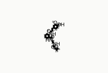 COc1cc(/C=C/C(=O)Nc2ccccc2C(=O)NCCNC(=O)OC(C)(C)C)ccc1O